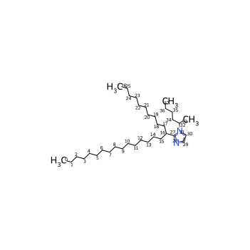 CCCCCCCCCCCCCCCCC(CCCCCCCCCC)c1nccn1C(C)CCCC